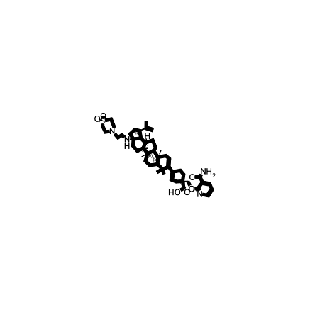 C=C(C)[C@@H]1CC[C@]2(NCCN3CCS(=O)(=O)CC3)CC[C@]3(C)[C@H](CCC4[C@@]5(C)CC=C(C6=CC[C@@](COc7ncccc7C(N)=O)(C(=O)O)CC6)C(C)(C)C5CC[C@]43C)C12